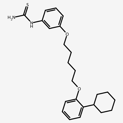 NC(=S)Nc1cccc(OCCCCCOc2ccccc2C2CCCCC2)c1